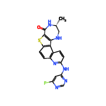 C[C@@H]1CNc2c(sc3ccc4nc(Nc5cc(F)ncn5)ccc4c23)C(=O)N1